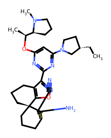 CC[C@H]1CCN(c2cc(O[C@@H](C)[C@@H]3CCCN3C)nc(-c3noc4c3CCC[C@@]43CCCc4sc(N)c(C#N)c43)n2)C1